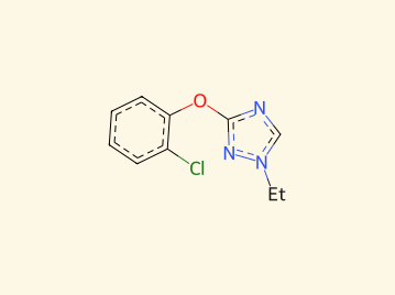 CCn1cnc(Oc2ccccc2Cl)n1